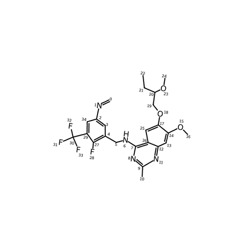 C=Nc1cc(CNc2nc(C)nc3cc(OC)c(OCC(CC)OC)cc23)c(F)c(C(F)(F)F)c1